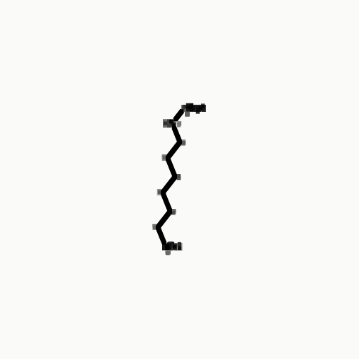 CCCCCCCCCCCCCCNCCCCCCC